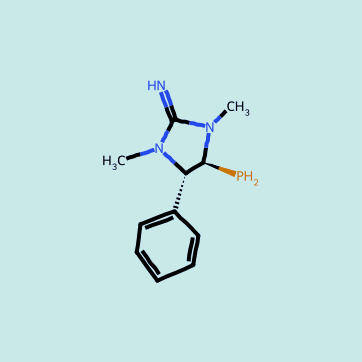 CN1C(=N)N(C)[C@@H](c2ccccc2)[C@@H]1P